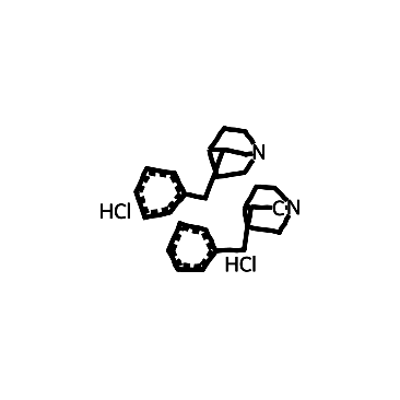 Cl.Cl.c1ccc(CC2CN3CCC2CC3)cc1.c1ccc(CC2CN3CCC2CC3)cc1